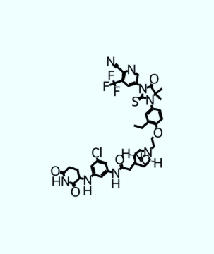 CCc1cc(N2C(=S)N(c3cnc(C#N)c(C(F)(F)F)c3)C(=O)C2(C)C)ccc1OCCN1C[C@@H]2CC[C@H]1CN2CC(=O)Nc1cc(Cl)cc(NC2CCC(=O)NC2=O)c1